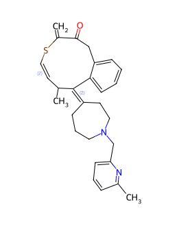 C=C1S/C=C\C(C)/C(=C2\CCCN(Cc3cccc(C)n3)CC2)c2ccccc2CC1=O